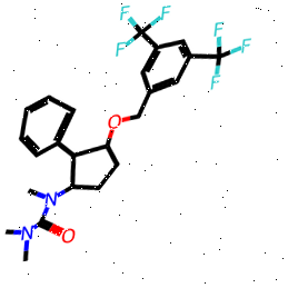 CN(C)C(=O)N(C)C1CCC(OCc2cc(C(F)(F)F)cc(C(F)(F)F)c2)C1c1ccccc1